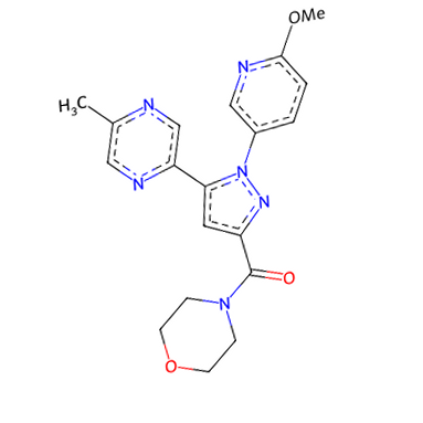 COc1ccc(-n2nc(C(=O)N3CCOCC3)cc2-c2cnc(C)cn2)cn1